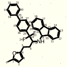 Cc1ccc(CCC(NC2c3ccccc3-c3ccccc32)C(F)(F)c2ccc(-c3ccccc3)cc2)o1